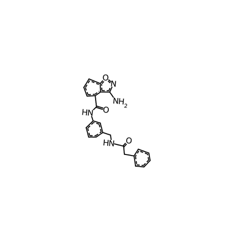 Nc1noc2cccc(C(=O)Nc3cccc(CNC(=O)Cc4ccccc4)c3)c12